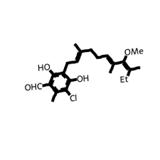 CC/C(C)=C(OC)\C(C)=C\CC/C(C)=C/Cc1c(O)c(Cl)c(C)c(C=O)c1O